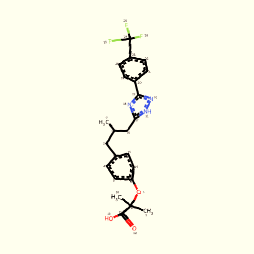 CC(Cc1ccc(OC(C)(C)C(=O)O)cc1)Cc1nc(-c2ccc(C(F)(F)F)cc2)n[nH]1